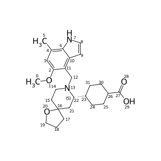 COc1cc(C)c2[nH]ccc2c1CN1CCC2(CCCO2)C[C@H]1C1CCC(C(=O)O)CC1